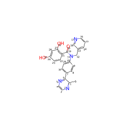 Cc1nccnc1-c1ccc(N(Cc2cccnc2)C(=O)c2ccc(O)cc2O)cc1